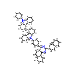 c1ccc(-n2c3ccccc3c3c(-c4cccc5c4c4ccccc4n5-c4ccc(-c5nc(-c6ccc7ccccc7c6)nc6c5ccc5ccccc56)cc4)cccc32)cc1